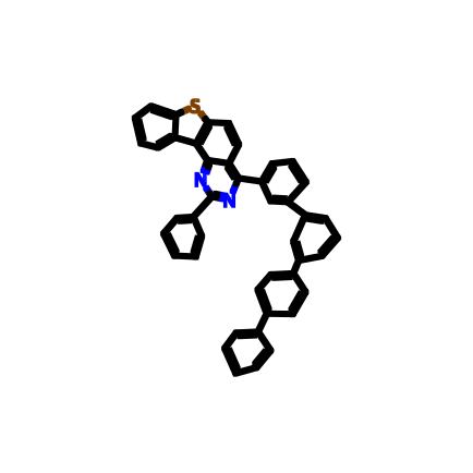 c1ccc(-c2ccc(-c3cccc(-c4cccc(-c5nc(-c6ccccc6)nc6c5ccc5sc7ccccc7c56)c4)c3)cc2)cc1